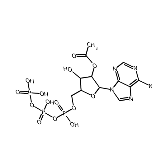 CC(=O)OC1C(O)C(COP(=O)(O)OP(=O)(O)OP(=O)(O)O)OC1n1cnc2c(N)ncnc21